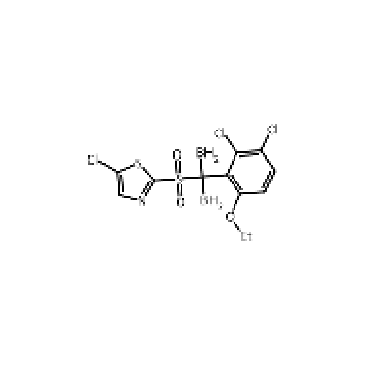 BC(B)(c1c(OCC)ccc(Cl)c1Cl)S(=O)(=O)c1ncc(Cl)s1